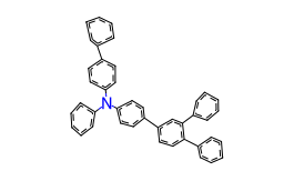 c1ccc(-c2ccc(N(c3ccccc3)c3ccc(-c4ccc(-c5ccccc5)c(-c5ccccc5)c4)cc3)cc2)cc1